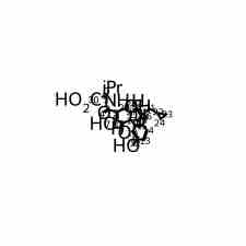 CC(C)[C@@H](NC(=O)C1=C(O)[C@@H]2Oc3c(O)ccc4c3[C@@]23CCN(CC2CC2)[C@H](C4)[C@]3(O)C1)C(=O)O